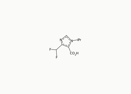 CC(C)n1cnc(C(F)F)c1C(=O)O